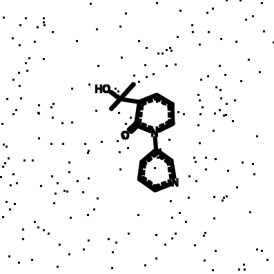 CC(C)(O)c1cccn(-c2cccnc2)c1=O